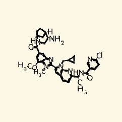 COc1cc(C(=O)N2C[C@H](N)[C@@H]3CC[C@H]2C3)cc2nc(-c3cc4ccc([C@@H](C)NC(=O)c5ccc(Cl)nc5)nc4n3CC3CC3)n(C)c12